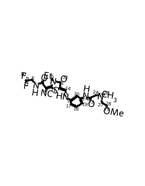 CCn1c(=C(C#N)C(=O)NCC(F)F)sc(=CNc2cccc(NC(=O)CN(C)CCOC)c2)c1=O